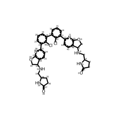 O=C1CCC(CNC2COc3nc(-c4cccc(-c5cccc(-c6ccc7c(n6)OCC7NCC6CCC(=O)N6)c5Cl)c4Cl)ccc32)N1